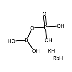 O=P(O)(O)OB(O)O.[KH].[RbH]